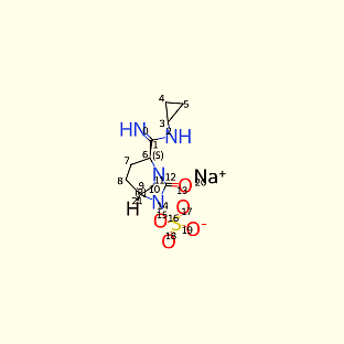 N=C(NC1CC1)[C@@H]1CC[C@@H]2CN1C(=O)N2OS(=O)(=O)[O-].[Na+]